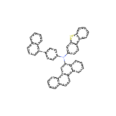 c1ccc2c(-c3ccc(N(c4ccc5c(c4)sc4ccccc45)c4cc5c6ccccc6ccc5c5ccccc45)cc3)cccc2c1